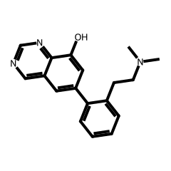 CN(C)CCc1ccccc1-c1cc(O)c2ncncc2c1